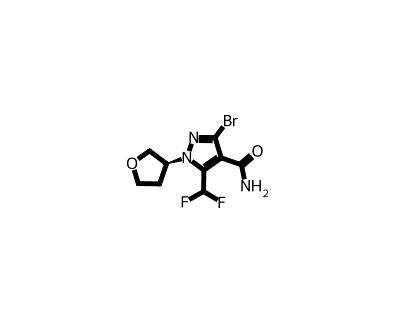 NC(=O)c1c(Br)nn([C@H]2CCOC2)c1C(F)F